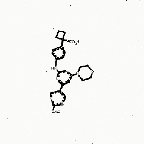 COc1ccc(-c2cc(N3CCOCC3)nc(Nc3ccc(C4(C(=O)O)CCC4)cc3)n2)cn1